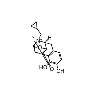 C[N@@+]1(CC2CC2)CC[C@]23CC(=O)CCC2(O)[C@H]1Cc1ccc(O)c(O)c13